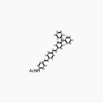 CC(=O)Nc1ccc(C=Cc2ccc(C=Cc3ccc(N(c4ccccc4)c4ccccc4)cc3)cc2)cc1